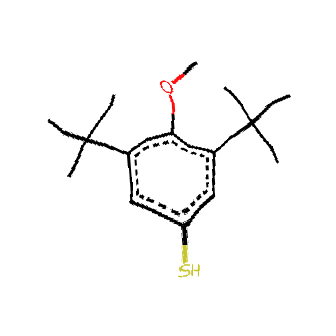 COc1c(C(C)(C)C)cc(S)cc1C(C)(C)C